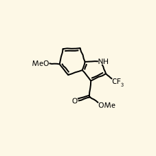 COC(=O)c1c(C(F)(F)F)[nH]c2ccc(OC)cc12